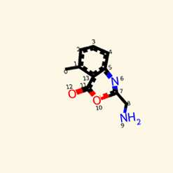 Cc1cccc2nc(CN)oc(=O)c12